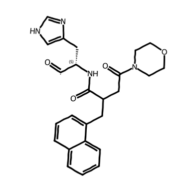 O=[C][C@H](Cc1c[nH]cn1)NC(=O)C(CC(=O)N1CCOCC1)Cc1cccc2ccccc12